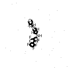 [2H]C([2H])(C1CCOCC1)N1C[C@H]2CC(Nc3cc(C(F)F)c(-c4cc(F)cc(F)c4F)nn3)C[C@H]2C1